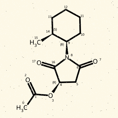 CC(=O)O[C@@H]1CC(=O)N([C@@H]2CCCC[C@@H]2C)C1=O